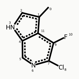 Cc1c[nH]c2cnc(Cl)c(F)c12